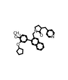 COc1ccc(-c2cc3ccccc3cc2CN2CCC(Cc3ccncc3)C2=O)cc1OC1CCCC1